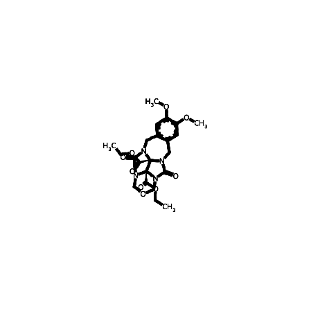 CCOC(=O)[C@]12N3COCN1C(=O)N1Cc4cc(OC)c(OC)cc4CN(C3=O)[C@]12C(=O)OCC